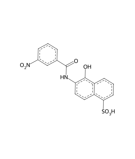 O=C(Nc1ccc2c(S(=O)(=O)O)cccc2c1O)c1cccc([N+](=O)[O-])c1